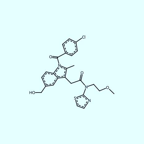 COCCN(C(=O)Cc1c(C)n(C(=O)c2ccc(Cl)cc2)c2ccc(CO)cc12)c1nccs1